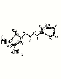 CC(=O)N[C@H](CCSCc1ccccc1)C(=O)O